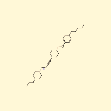 CCCCCc1ccc(OC[C@H]2CC[C@H](C#C/C=C/[C@H]3CC[C@H](CCC)CC3)CC2)cc1